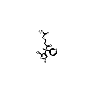 C[N+](C(=O)CCOC(N)=O)(c1cccnc1)c1c[nH]nc1Cl